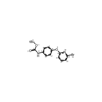 CC(C)(C)OC(=O)Nc1ccc(Oc2cccc(Br)n2)cc1